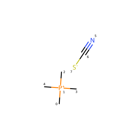 C[P+](C)(C)C.N#C[S-]